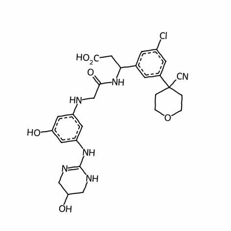 N#CC1(c2cc(Cl)cc(C(CC(=O)O)NC(=O)CNc3cc(O)cc(NC4=NCC(O)CN4)c3)c2)CCOCC1